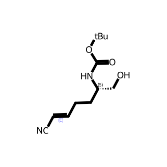 CC(C)(C)OC(=O)N[C@H](CO)CC/C=C/C#N